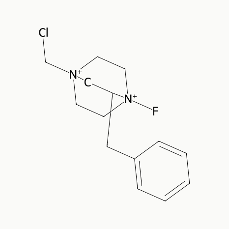 F[N+]12CC[N+](CCl)(CC1)CC2Cc1ccccc1